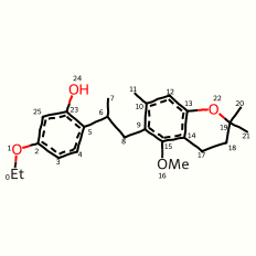 CCOc1ccc(C(C)Cc2c(C)cc3c(c2OC)CCC(C)(C)O3)c(O)c1